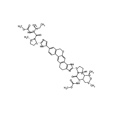 CC[C@H](C)[C@H](NC(=O)OC)C(=O)N1[C@@H](C)CC[C@H]1c1ncc(-c2ccc3c(c2)COc2cc4c(cc2-3)CCc2nc([C@@H]3CC[C@@H]5C6C(C[C@@H](C)O[C@@H]6C)[C@H](NC(=O)OC)C(=O)N53)[nH]c2-4)[nH]1